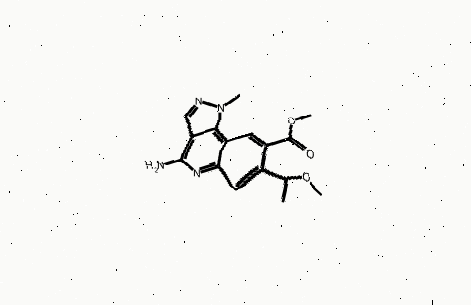 COC(=O)c1cc2c(cc1C(C)OC)nc(N)c1cnn(C)c12